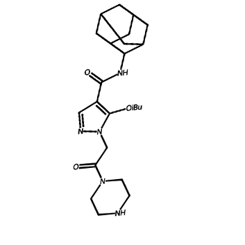 CC(C)COc1c(C(=O)NC2C3CC4CC(C3)CC2C4)cnn1CC(=O)N1CCNCC1